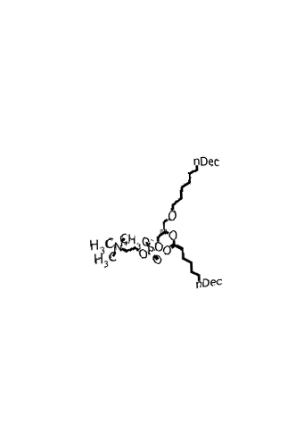 CCCCCCCCCCCCCCCCOC[C@H](COP(=O)([O-])OCC[N+](C)(C)C)OC(=O)CCCCCCCCCCCCCCC